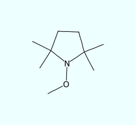 CON1C(C)(C)CCC1(C)C